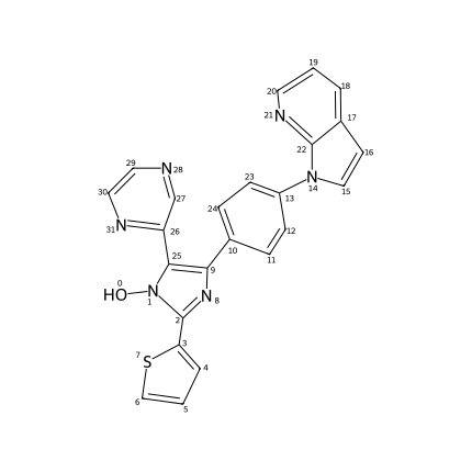 On1c(-c2cccs2)nc(-c2ccc(-n3ccc4cccnc43)cc2)c1-c1cnccn1